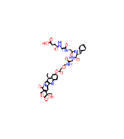 CCc1c2c(nc3ccc(OC(=O)COCNC(=O)CNC(=O)[C@H](Cc4ccccc4)NC(=O)CNC(=O)CNC(=O)CCC(=O)O)cc13)-c1cc3c(c(=O)n1C2)COC(=O)[C@]3(O)CC